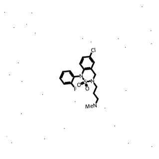 CNCCCN1Cc2cc(Cl)ccc2N(c2ccccc2F)S1(=O)=O